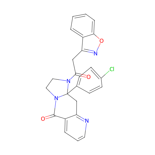 O=C(Cc1noc2ccccc12)N1CCN2C(=O)c3cccnc3CC12c1ccc(Cl)cc1